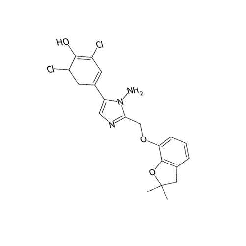 CC1(C)Cc2cccc(OCc3ncc(C4=CC(Cl)=C(O)C(Cl)C4)n3N)c2O1